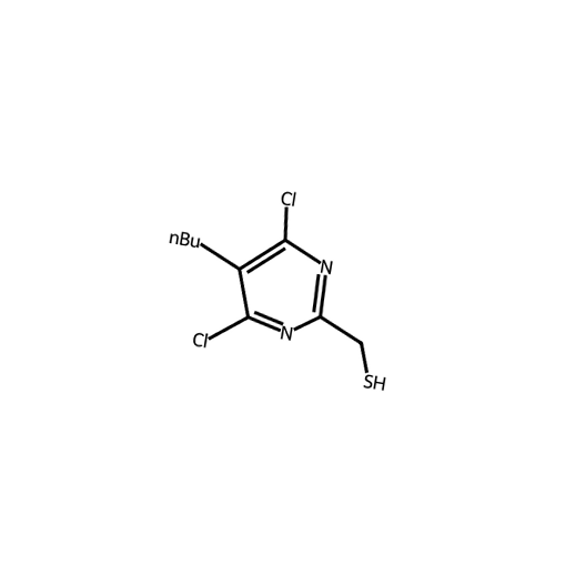 CCCCc1c(Cl)nc(CS)nc1Cl